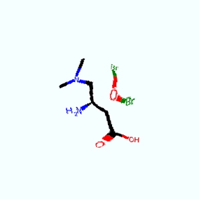 BrOBr.CN(C)C[C@H](N)CC(=O)O